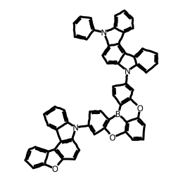 c1ccc(-n2c3ccccc3c3c4c5ccccc5n(-c5ccc6c(c5)Oc5cccc7c5B6c5ccc(-n6c8ccccc8c8c9c(ccc86)oc6ccccc69)cc5O7)c4ccc32)cc1